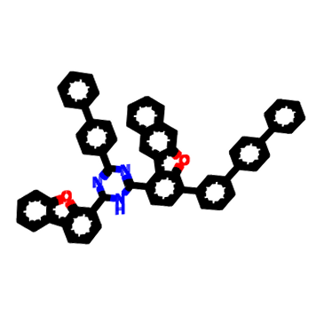 c1ccc(-c2ccc(C3=NC(c4cccc5c4oc4ccccc45)NC(c4ccc(-c5cccc(-c6ccc(-c7ccccc7)cc6)c5)c5oc6cc7ccccc7cc6c45)=N3)cc2)cc1